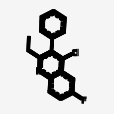 CCc1nc2ccc(F)cc2c(Cl)c1-c1ccccc1